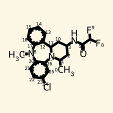 CC1CC(NC(=O)C(F)F)CC2c3ccccc3N(C)c3ccc(Cl)cc3N12